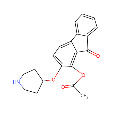 O=C1c2ccccc2-c2ccc(OC3CCNCC3)c(OC(=O)C(F)(F)F)c21